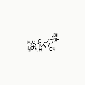 C[C@H](C(=O)Nc1cc(C#N)c2c(c1)CC(O)(CO)C2)N(C)C